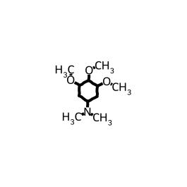 COC1CC(N(C)C)CC(OC)C1OC